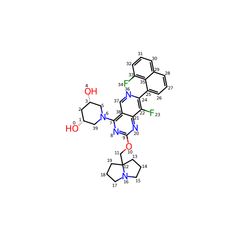 O[C@@H]1C[C@H](O)CN(c2nc(OCC34CCCN3CCC4)nc3c(F)c(-c4cccc5cccc(F)c45)ncc23)C1